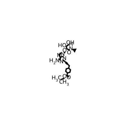 CC(C)COC(=O)C1CCC(CC#Cc2nc(N)c3ncn(COC(C(=O)NC4CC4)C(O)CO)c3n2)CC1